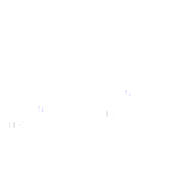 CCN1c2ccccc2Cc2ccc(-c3ccc4c(c3)c3ccccc3n4CC)cc21